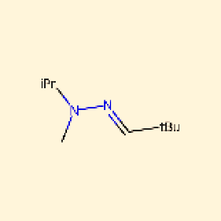 CC(C)N(C)N=CC(C)(C)C